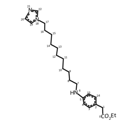 CCOC(=O)Cc1ccc(NCCCCCCCCCCCn2ccnc2)cc1